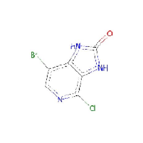 O=c1[nH]c2c(Br)cnc(Cl)c2[nH]1